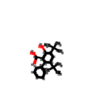 CC(C)(C)c1cc(C(C)(C)C)c(-c2ccccc2)c(C(=O)O)c1O